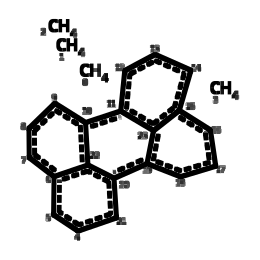 C.C.C.C.c1cc2cccc3c4cccc5cccc(c(c1)c23)c54